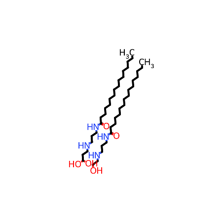 CCCCCCCCCCCCCCCC(=O)NCCCNCCC(O)O.CCCCCCCCCCCCCCCC(=O)NCCCNCCO